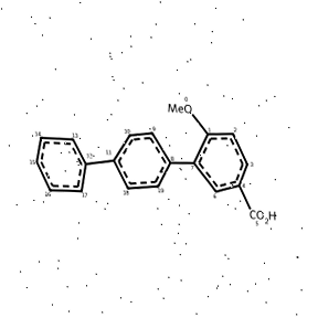 COc1ccc(C(=O)O)cc1-c1ccc(-c2ccccc2)cc1